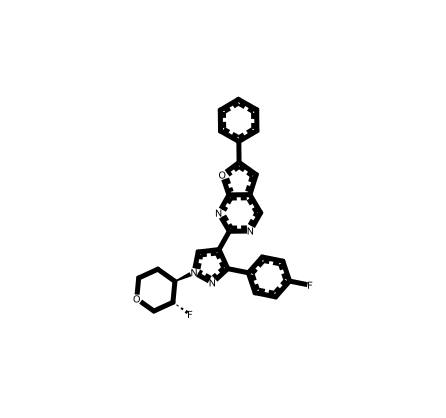 Fc1ccc(-c2nn([C@@H]3CCOC[C@H]3F)cc2-c2ncc3cc(-c4ccccc4)oc3n2)cc1